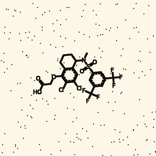 CN(C1CCCc2c1cc(Cl)c(Cl)c2OCC(=O)O)S(=O)(=O)c1cc(C(F)(F)F)cc(C(F)(F)F)c1